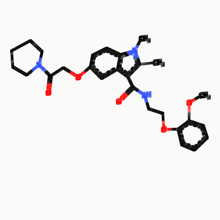 COc1ccccc1OCCNC(=O)c1c(C)n(C)c2ccc(OCC(=O)N3CCCCC3)cc12